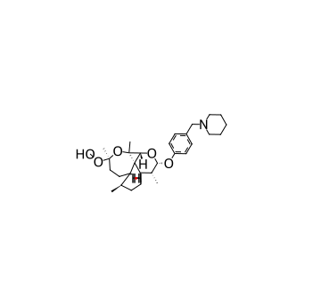 C[C@H]1[C@@H](Oc2ccc(CN3CCCCC3)cc2)O[C@H]2C3(C)O[C@](C)(OO)CC[C@H]4[C@H](C)CC[C@@H]1[C@@]423